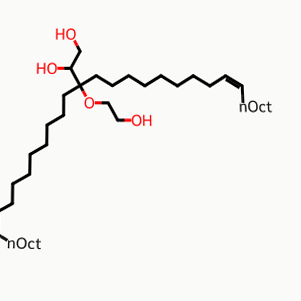 CCCCCCCC/C=C\CCCCCCCCC(CCCCCCCC/C=C\CCCCCCCC)(OCCO)C(O)CO